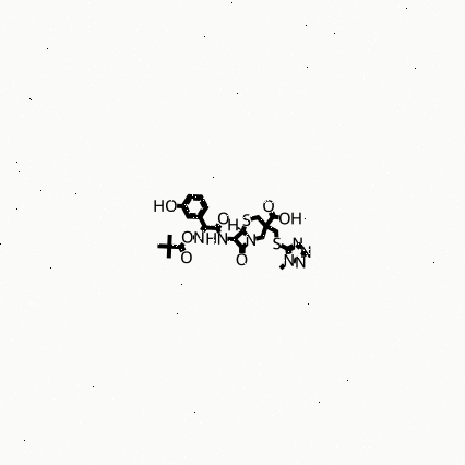 Cn1nnnc1SCC1(C(=O)O)CS[C@@H]2C(NC(=O)C(=NOC(=O)C(C)(C)C)c3cccc(O)c3)C(=O)N2C1